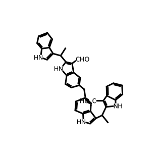 CC(c1[nH]c2ccc(Cc3ccc4[nH]cc(C(C)c5[nH]c6ccccc6c5C(=O)O)c4c3)cc2c1C=O)c1c[nH]c2ccccc12